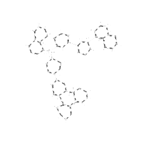 c1cc(-c2cccc(N(c3ccc(-c4ccc5c6ccccc6c6ccccc6c5c4)cc3)c3cccc4ccccc34)c2)cc(-c2cccc3ccccc23)c1